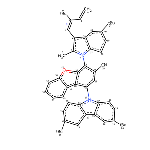 C=C/C(=C\c1c(C)n(-c2c(C#N)cc(-n3c4ccc(C(C)(C)C)cc4c4cc(C(C)(C)C)ccc43)c3c2oc2ccccc23)c2ccc(C(C)(C)C)cc12)C(C)(C)C